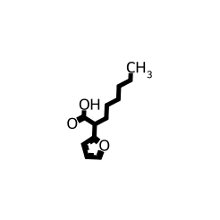 CCCCCCC(C(=O)O)c1ccco1